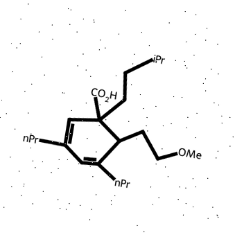 CCCC1=CC(CCC(C)C)(C(=O)O)C(CCOC)C(CCC)=C1